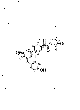 COC(=O)[C@H](Cc1ccc(O)cc1)NC(=O)c1ccc(NC(=O)[C@@H]2CCC(=O)N2)cc1